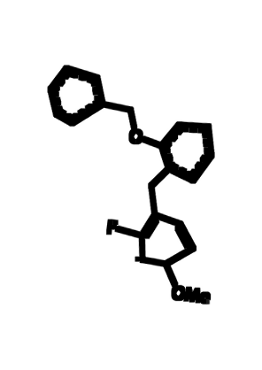 COC1[CH]C(F)=C(Cc2ccccc2OCc2ccccc2)C=C1